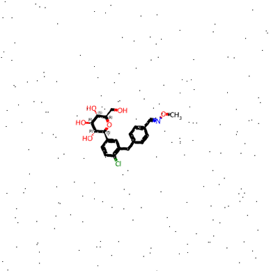 CON=Cc1ccc(Cc2cc([C@@H]3O[C@H](CO)[C@@H](O)[C@H](O)[C@H]3O)ccc2Cl)cc1